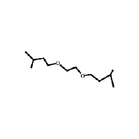 CC(C)CCOCCOCCC(C)C